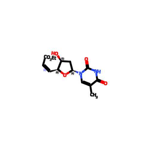 CCOC(=O)/C=C\[C@H]1O[C@@H](n2cc(C)c(=O)[nH]c2=O)C[C@@H]1O